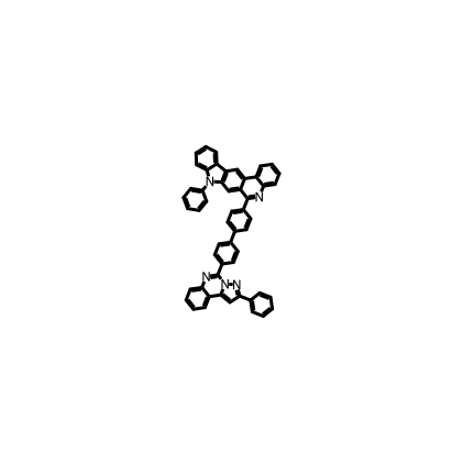 c1ccc(-c2cc3c4ccccc4nc(-c4ccc(-c5ccc(-c6nc7ccccc7c7cc8c9ccccc9n(-c9ccccc9)c8cc67)cc5)cc4)n3n2)cc1